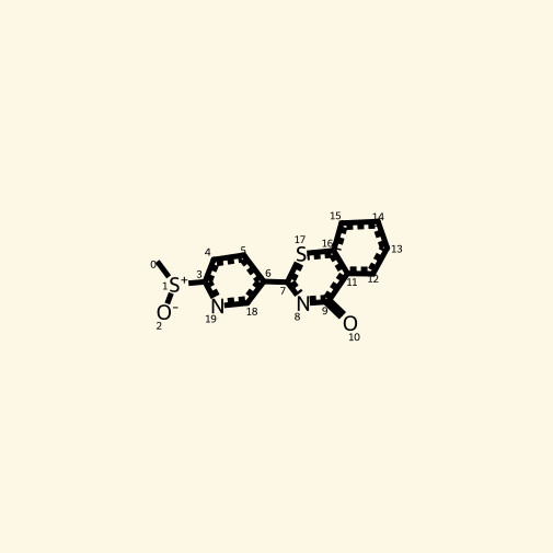 C[S+]([O-])c1ccc(-c2nc(=O)c3ccccc3s2)cn1